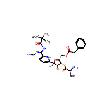 COC(C)(C)C(=O)N/C(=N/C=N)c1ccc([C@]2(C#N)O[C@H](COC(=O)Cc3ccccc3)[C@@H](OC(=O)[C@@H](N)C(C)(C)C)[C@H]2O)[nH]1